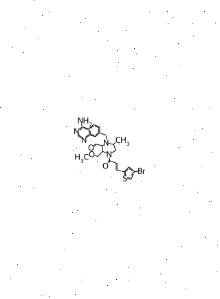 COCC1C(C=O)N(Cc2ccc3c(N)ncnc3c2)C(C)CN1C(=O)C=Cc1cc(Br)cs1